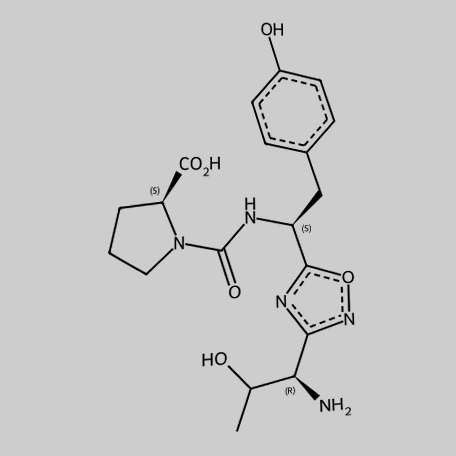 CC(O)[C@H](N)c1noc([C@H](Cc2ccc(O)cc2)NC(=O)N2CCC[C@H]2C(=O)O)n1